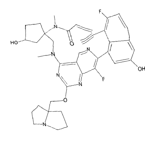 C#Cc1c(F)ccc2cc(O)cc(-c3ncc4c(N(C)CC5(N(C)C(=O)C=C)CCC(O)C5)nc(OCC56CCCN5CCC6)nc4c3F)c12